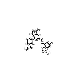 Cc1ccc(CC(=O)O)c(OCc2cc(-c3cccc(CN)c3)c3ccn(C(C)C)c3c2)c1